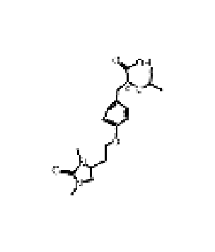 CC(C)O[C@@H](Cc1ccc(OCCC2CN(C)C(=O)N2C)cc1)C(=O)O